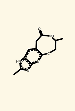 Cc1nc2nc3c(cc2[nH]1)CC(=O)NC(C)CC3